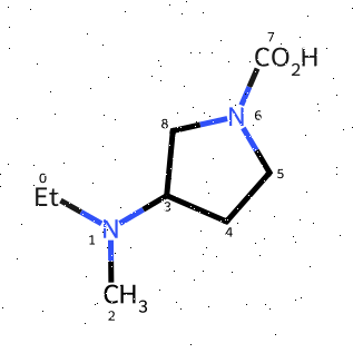 CCN(C)C1CCN(C(=O)O)C1